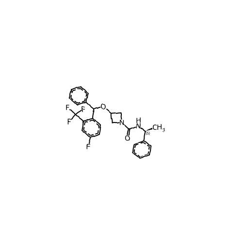 C[C@H](NC(=O)N1CC(OC(c2ccccc2)c2ccc(F)cc2C(F)(F)F)C1)c1ccccc1